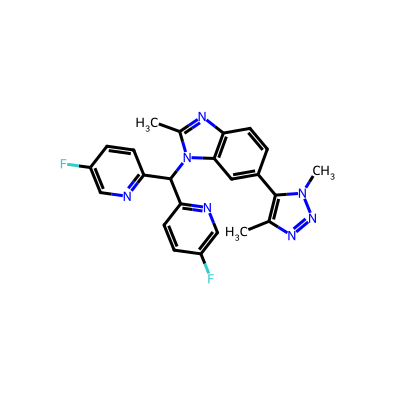 Cc1nnn(C)c1-c1ccc2nc(C)n(C(c3ccc(F)cn3)c3ccc(F)cn3)c2c1